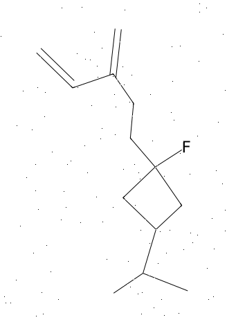 C=CC(=C)CCC1(F)CC(C(C)C)C1